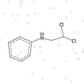 ClC(Cl)CNc1ccccc1